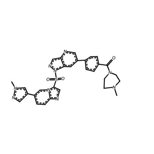 CN1CCN(C(=O)c2ccc(-c3cnc4cnn(S(=O)(=O)c5cnc6ccc(-c7cnn(C)c7)cn56)c4c3)cc2)CC1